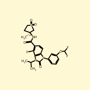 CC(C)n1c(=O)n(-c2cccc(OC(F)F)c2)c2ccc(C(=O)N[C@@]3(C)CCS(=O)(=O)C3)c(F)c21